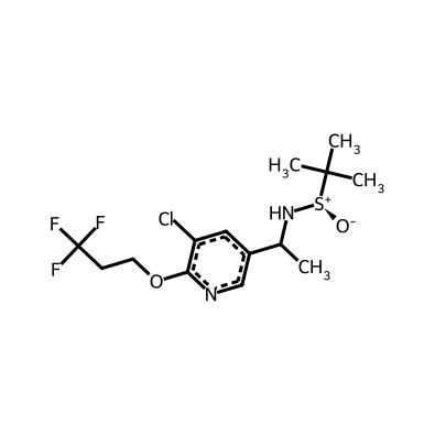 CC(N[S@+]([O-])C(C)(C)C)c1cnc(OCCC(F)(F)F)c(Cl)c1